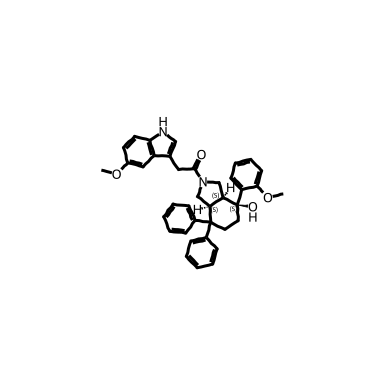 COc1ccc2[nH]cc(CC(=O)N3C[C@@H]4[C@H](C3)C(c3ccccc3)(c3ccccc3)CC[C@@]4(O)c3ccccc3OC)c2c1